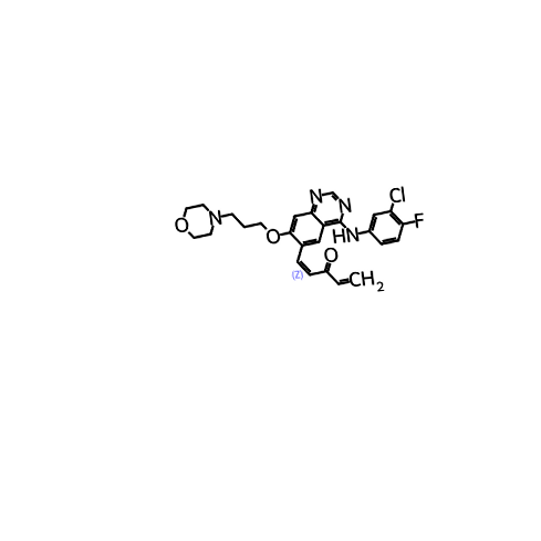 C=CC(=O)/C=C\c1cc2c(Nc3ccc(F)c(Cl)c3)ncnc2cc1OCCCN1CCOCC1